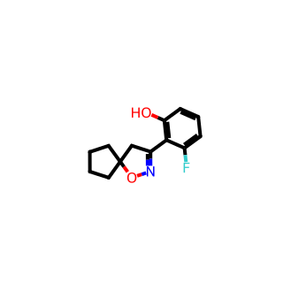 Oc1cccc(F)c1C1=NOC2(CCCC2)C1